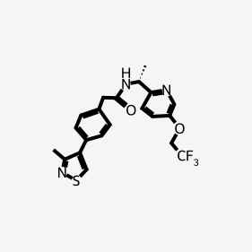 Cc1nscc1-c1ccc(CC(=O)N[C@H](C)c2ccc(OCC(F)(F)F)cn2)cc1